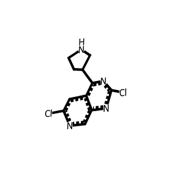 Clc1cc2c(C3CCNC3)nc(Cl)nc2cn1